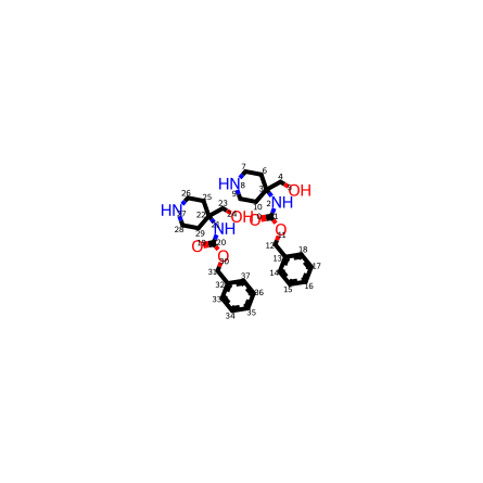 O=C(NC1(CO)CCNCC1)OCc1ccccc1.O=C(NC1(CO)CCNCC1)OCc1ccccc1